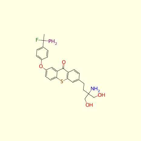 CC(F)(P)c1ccc(Oc2ccc3sc4cc(CCC(N)(CO)CO)ccc4c(=O)c3c2)cc1